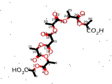 CC(OC(=O)C(C)OC(=O)C(C)OC(=O)CC(=O)OC(C)C(=O)OC(C)C(=O)OC(C)C(=O)O)C(=O)O